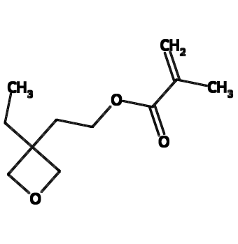 C=C(C)C(=O)OCCC1(CC)COC1